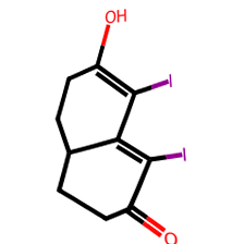 O=C1CCC2CCC(O)=C(I)C2=C1I